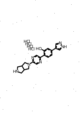 Cl.Cl.Cl.Cl.Oc1cc(-c2cn[nH]c2)ccc1-c1cnc(N2CC3CNCC3C2)cn1